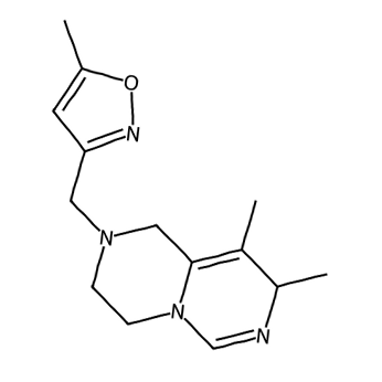 CC1=C2CN(Cc3cc(C)on3)CCN2C=NC1C